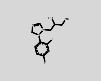 OCC(O)CN1C=NCN1c1ccc(F)cc1F